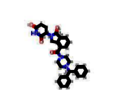 O=C1CCC(N2Cc3c(C(=O)N4CCN(C(c5ccccc5)c5ccccc5)CC4)cccc3C2=O)C(=O)N1